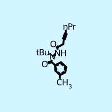 CCCC#CCC(=O)NN(C(=O)c1cccc(C)c1)C(C)(C)C